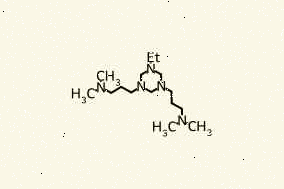 CCN1CN(CCCN(C)C)CN(CCCN(C)C)C1